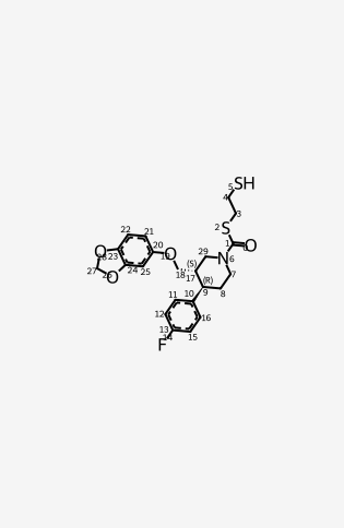 O=C(SCCS)N1CC[C@@H](c2ccc(F)cc2)[C@H](COc2ccc3c(c2)OCO3)C1